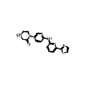 O=C1CNCCN1c1ccc(Nc2cccc(-c3nccs3)n2)nc1